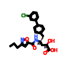 CCCc1cc(C(=O)N[C@H](Cc2ccc(-c3cccc(Cl)c3)cc2)C[C@@H](O)C(=O)O)on1